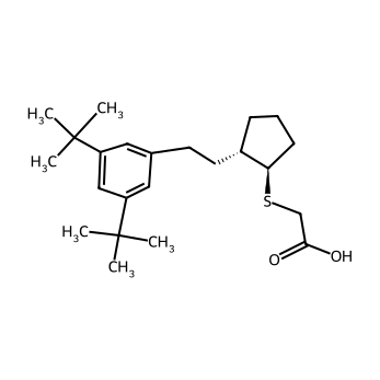 CC(C)(C)c1cc(CC[C@@H]2CCC[C@H]2SCC(=O)O)cc(C(C)(C)C)c1